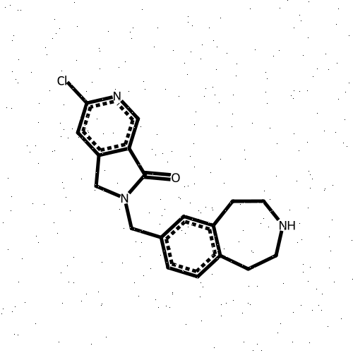 O=C1c2cnc(Cl)cc2CN1Cc1ccc2c(c1)CCNCC2